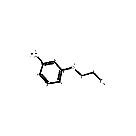 FCCOc1cccc(C(F)(F)F)c1